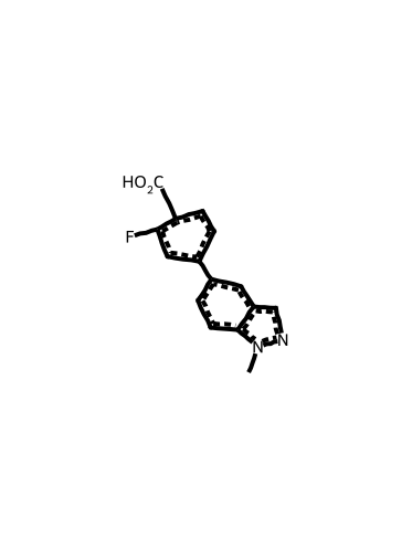 Cn1ncc2cc(-c3ccc(C(=O)O)c(F)c3)ccc21